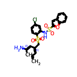 C=C/C=C(\C=C(/C)N)CS(=O)(=O)c1ccc(Cl)cc1NS(=O)(=O)c1cc2ccccc2o1